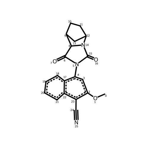 COc1cc(N2C(=O)C3C4CCC(C4)N3C2=O)c2ccccc2c1C#N